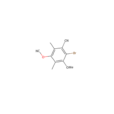 COc1c(C)c(OC#N)c(C)c(C#N)c1Br